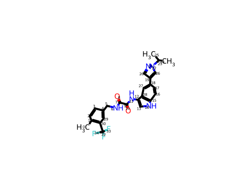 Cc1ccc(CNC(=O)C(=O)Nc2c[nH]c3ccc(-c4cnn(C(C)C)c4)cc23)cc1C(F)(F)F